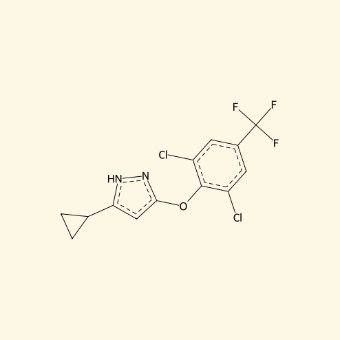 FC(F)(F)c1cc(Cl)c(Oc2cc(C3CC3)[nH]n2)c(Cl)c1